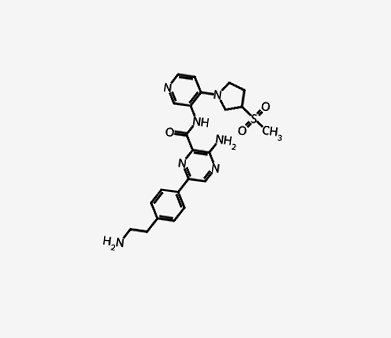 CS(=O)(=O)C1CCN(c2ccncc2NC(=O)c2nc(-c3ccc(CCN)cc3)cnc2N)C1